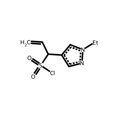 C=CC(c1cnn(CC)c1)S(=O)(=O)Cl